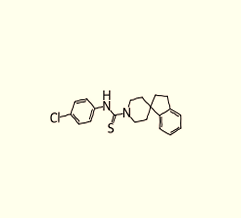 S=C(Nc1ccc(Cl)cc1)N1CCC2(CCc3ccccc32)CC1